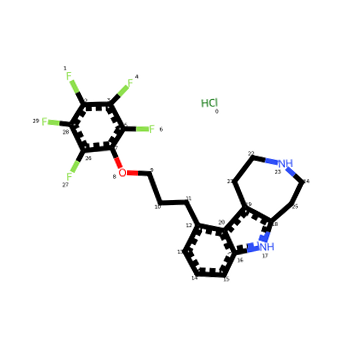 Cl.Fc1c(F)c(F)c(OCCCc2cccc3[nH]c4c(c23)CCNCC4)c(F)c1F